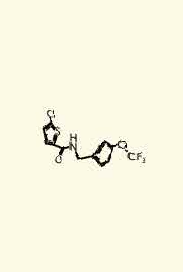 O=C(NCc1ccc(OC(F)(F)F)cc1)c1ccc(Cl)s1